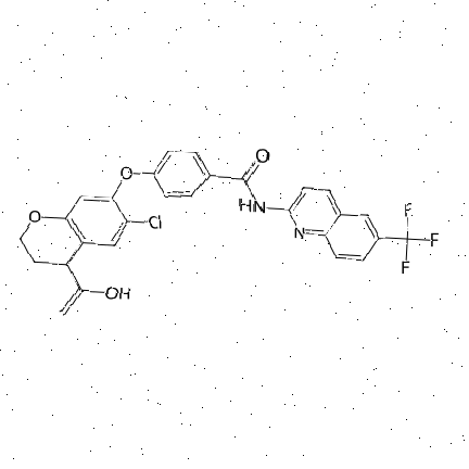 C=C(O)C1CCOc2cc(Oc3ccc(C(=O)Nc4ccc5cc(C(F)(F)F)ccc5n4)cc3)c(Cl)cc21